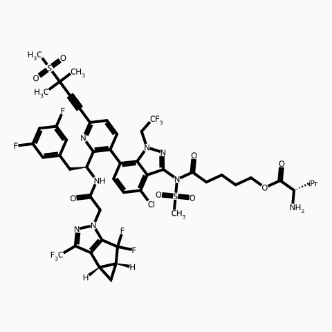 CC(C)[C@H](N)C(=O)OCCCCC(=O)N(c1nn(CC(F)(F)F)c2c(-c3ccc(C#CC(C)(C)S(C)(=O)=O)nc3[C@H](Cc3cc(F)cc(F)c3)NC(=O)Cn3nc(C(F)(F)F)c4c3C(F)(F)[C@@H]3C[C@H]43)ccc(Cl)c12)S(C)(=O)=O